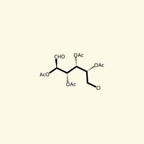 CC(=O)O[C@@H]([C@H](OC(C)=O)[C@@H](CCl)OC(C)=O)[C@H](C=O)OC(C)=O